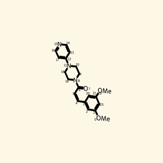 COc1cc(/C=C\C(=O)N2CCN(c3ccncc3)CC2)cc(OC)c1